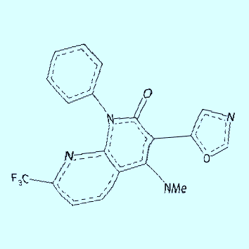 CNc1c(-c2cnco2)c(=O)n(-c2ccccc2)c2nc(C(F)(F)F)ccc12